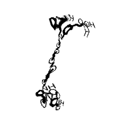 O=C(/C=C/c1ccc(CN(CCOCCOCCOCCOCCOCCNc2cccc3c2C(=O)N(C2CCC(=O)NC2=O)C3=O)CCc2c[nH]c3ccccc23)cc1)NO